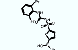 CC(C)c1cccc(C(C)C)c1NC(=O)NS(=O)(=O)c1ccc(B(O)O)s1